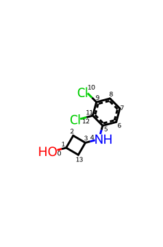 OC1CC(Nc2cccc(Cl)c2Cl)C1